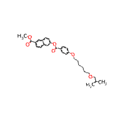 C=C(C)COCCCCCCOc1ccc(C(=O)Oc2ccc3cc(C(=O)OC)ccc3c2)cc1